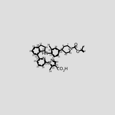 C=C(C)OC(=O)N1CCC(c2ccc(NC3CCc4cccc(-c5cccc(-n6ncc(C(=O)O)c6C)n5)c43)c(C)c2)CC1